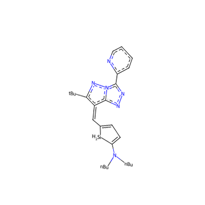 CCCCN(CCCC)C1=CC=C(/C=c2/c(C(C)(C)C)nn3c(-c4ccccn4)nnc23)[SiH2]1